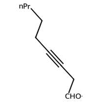 CCCCCC#CC[C]=O